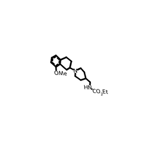 CCOC(=O)NCC1CCN(C2CCc3cccc(OC)c3C2)CC1